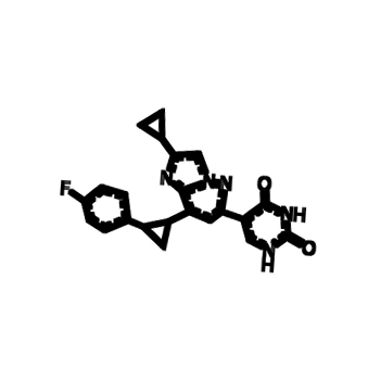 O=c1[nH]cc(-c2cc(C3CC3c3ccc(F)cc3)c3nc(C4CC4)cn3n2)c(=O)[nH]1